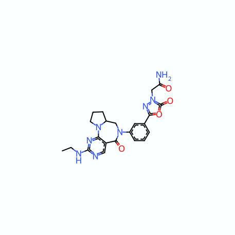 CCNc1ncc2c(n1)N1CCCC1CN(c1cccc(-c3nn(CC(N)=O)c(=O)o3)c1)C2=O